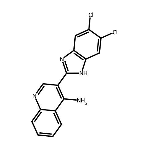 Nc1c(-c2nc3cc(Cl)c(Cl)cc3[nH]2)cnc2ccccc12